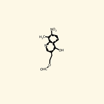 Cc1c([N+](=O)[O-])ccc2c(O)c(CCOC=O)cnc12